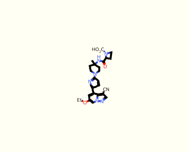 CCOc1cc(-c2ccc(N3CCC(C)(NC(=O)C4CCN4C(=O)O)CC3)nc2)c2c(C#N)cnn2c1